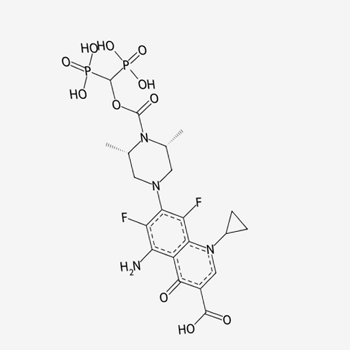 C[C@@H]1CN(c2c(F)c(N)c3c(=O)c(C(=O)O)cn(C4CC4)c3c2F)C[C@H](C)N1C(=O)OC(P(=O)(O)O)P(=O)(O)O